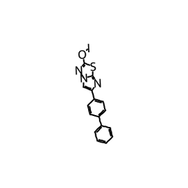 IOc1nn2cc(-c3ccc(-c4ccccc4)cc3)nc2s1